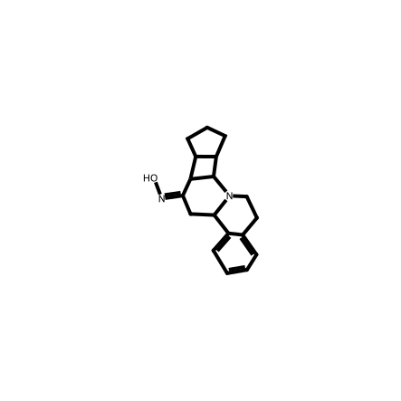 ON=C1CC2c3ccccc3CCN2C2C3CCCC3C12